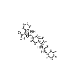 O=C(O)Nc1ccccc1NC(=O)c1ccc2c(c1)CCC2NC(=S)Nc1ccccc1